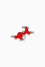 CC(N)COC(COCC(C)OCC(C)NC(c1ccc(C(=O)C(C)(C)O)cc1)c1ccc(C(=O)C(C)(C)O)cc1)COCC(C)OCC(C)NC(c1ccc(C(=O)C(C)(C)O)cc1)c1ccc(C(=O)C(C)(C)O)cc1